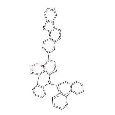 c1ccc(-c2ccccc2N(c2ccc(-c3ccc4c(ccc5c6ccccc6sc45)c3)cc2)c2cc3ccccc3c3ccccc23)cc1